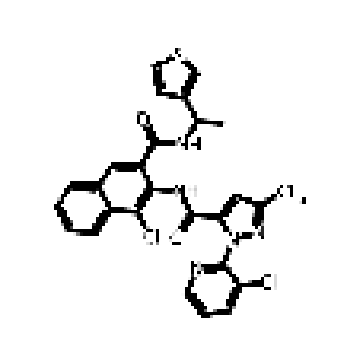 CC(NC(=O)c1cc2ccccc2c(Cl)c1NC(=O)c1cc(C(F)(F)F)nn1-c1ncccc1Cl)c1ccsc1